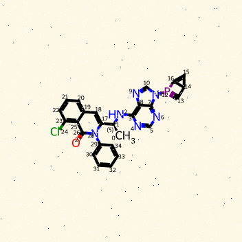 C[C@H](Nc1ncnc2c1ncn2P1#CC2C=C21)c1cc2cccc(Cl)c2c(=O)n1-c1ccccc1